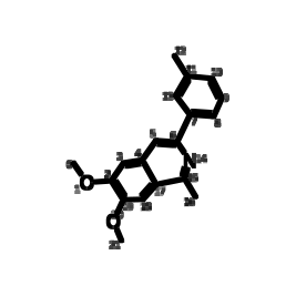 COc1cc2cc(-c3cccc(C)c3)nc(C)c2cc1OC